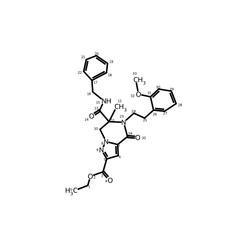 CCOC(=O)c1cc2n(n1)CC(C)(C(=O)NCc1ccccc1)N(CCc1ccccc1OC)C2=O